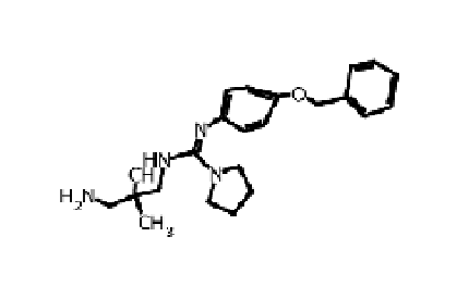 CC(C)(CN)CN/C(=N/c1ccc(OCc2ccccc2)cc1)N1CCCC1